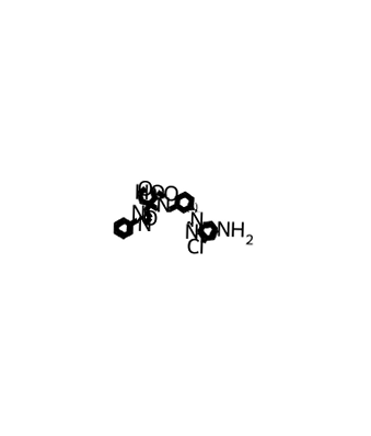 Nc1cc(Cl)c2ncn(C[C@H]3CCCC(CN(CC4(c5nc(-c6ccccc6)no5)CCOCC4)C(=O)O)C3)c2c1